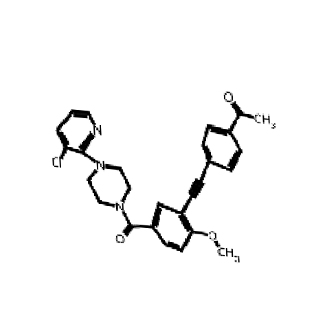 COc1ccc(C(=O)N2CCN(c3ncccc3Cl)CC2)cc1C#Cc1ccc(C(C)=O)cc1